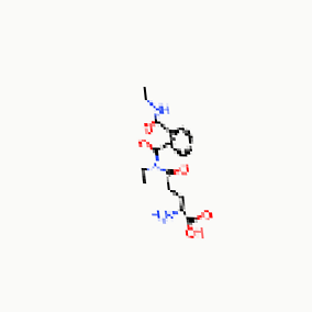 CCNC(=O)c1ccccc1C(=O)N(CC)C(=O)CC[C@H](N)C(=O)O